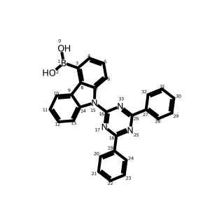 OB(O)c1cccc2c1c1ccccc1n2-c1nc(-c2ccccc2)nc(-c2ccccc2)n1